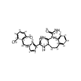 N=C1C(NC(=O)c2ncn(Cc3c(Cl)cccc3Cl)n2)CCc2ccccc2N1C(N)=O